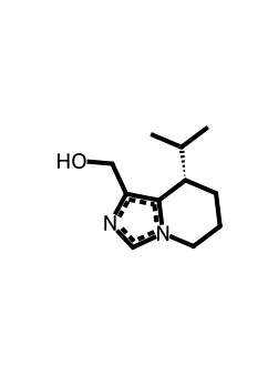 CC(C)[C@@H]1CCCn2cnc(CO)c21